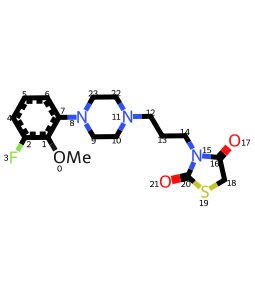 COc1c(F)cccc1N1CCN(CCCN2C(=O)CSC2=O)CC1